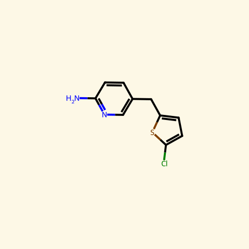 Nc1ccc(Cc2ccc(Cl)s2)cn1